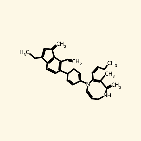 C=Cc1c(C2C=CC(N3/C=C\CNC(=C)/C(C)=C3/C=C\CC)=CC2)ccc2c1C(=C)C=C2CC